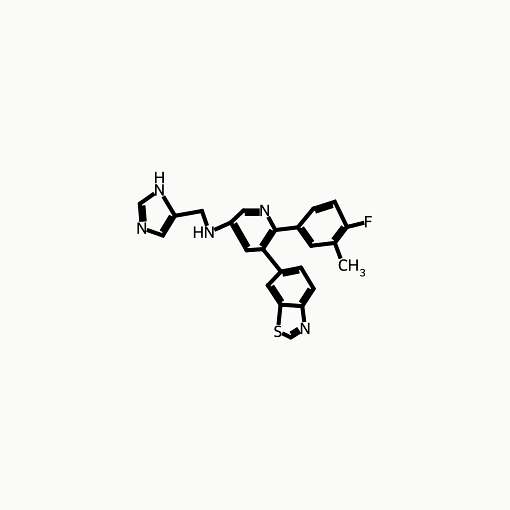 Cc1cc(-c2ncc(NCc3cnc[nH]3)cc2-c2ccc3ncsc3c2)ccc1F